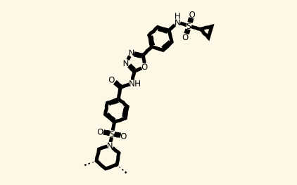 C[C@@H]1C[C@H](C)CN(S(=O)(=O)c2ccc(C(=O)Nc3nnc(-c4ccc(NS(=O)(=O)C5CC5)cc4)o3)cc2)C1